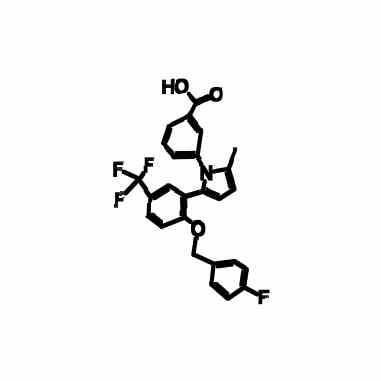 Cc1ccc(-c2cc(C(F)(F)F)ccc2OCc2ccc(F)cc2)n1-c1cccc(C(=O)O)c1